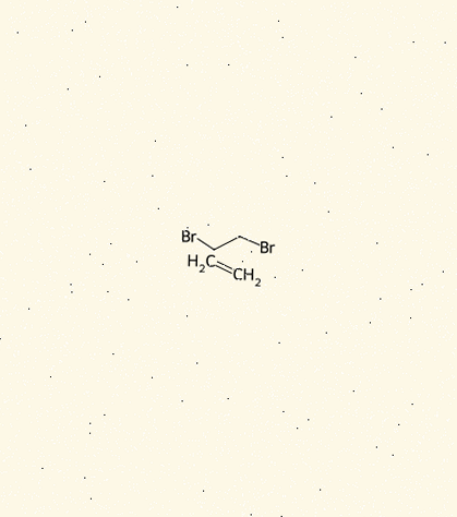 BrCCBr.C=C